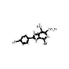 CCOC(=O)c1nc(Br)c2nc(-c3ccc(F)cc3)sc2c1O